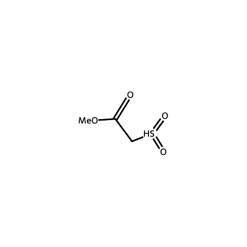 COC(=O)C[SH](=O)=O